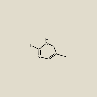 CC1=CN=C(I)NC1